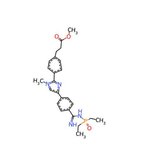 CCP(=O)(CC)NC(=N)c1ccc(-c2cn(C)c(-c3ccc(CCC(=O)OC)cc3)n2)cc1